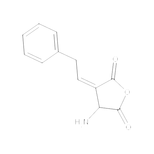 NC1C(=O)OC(=O)C1=CCc1ccccc1